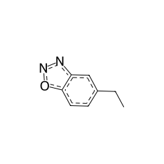 CCc1ccc2onnc2c1